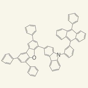 c1ccc(-c2cc(-c3ccccc3)c3oc4c(-c5ccc6c(c5)c5ccccc5n6-c5cccc(-c6c7ccccc7c(-c7ccccc7)c7ccccc67)c5)cc(-c5ccccc5)cc4c3c2)cc1